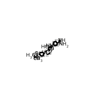 CN(C)S(=O)(=O)c1ccc(N2CCO[C@H]([C@@H](O)C(=O)Nc3ccc(C(=N)N)cc3)C2)cc1